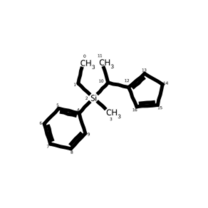 CC[Si](C)(c1ccccc1)C(C)C1=CCC=C1